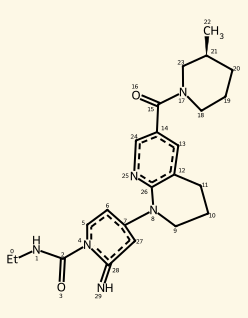 CCNC(=O)n1ccc(N2CCCc3cc(C(=O)N4CCC[C@H](C)C4)cnc32)cc1=N